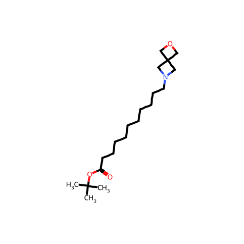 CC(C)(C)OC(=O)CCCCCCCCCCN1CC2(COC2)C1